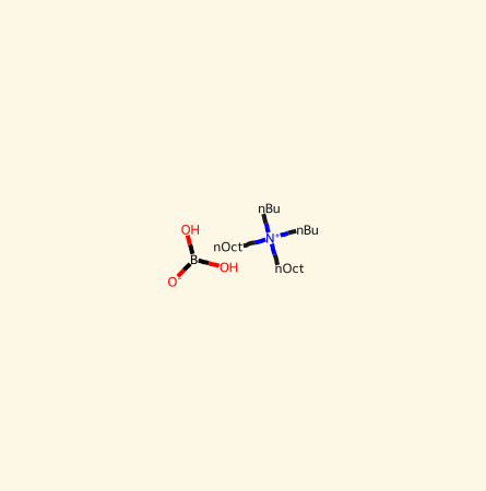 CCCCCCCC[N+](CCCC)(CCCC)CCCCCCCC.[O-]B(O)O